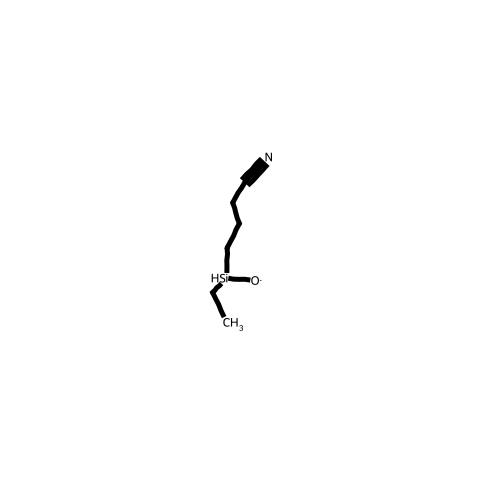 CC[SiH]([O])CCCC#N